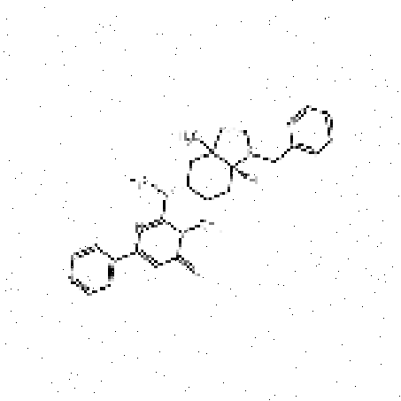 CN(c1nc(-c2ccncc2)cc(=O)n1C)[C@H]1CC[C@H]2N(Cc3ccccc3)CCC2(C)C1